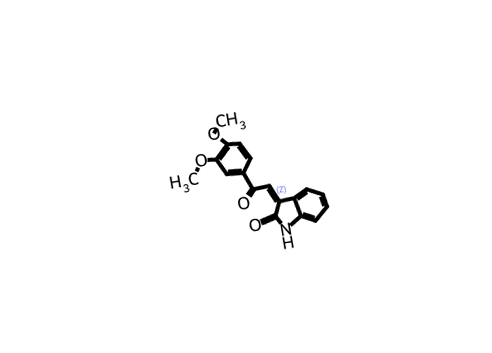 COc1ccc(C(=O)/C=C2\C(=O)Nc3ccccc32)cc1OC